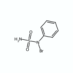 NS(=O)(=O)N(Br)c1ccccc1